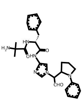 CC(C)(N)C(=O)N[C@H](Cc1ccccc1)C(=O)Nc1cn(C(C=O)C2CCCN2c2ccccc2)cn1